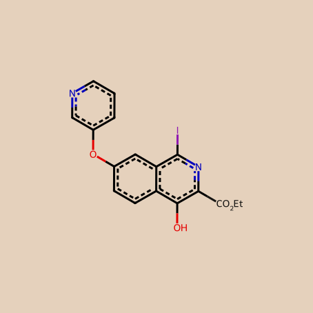 CCOC(=O)c1nc(I)c2cc(Oc3cccnc3)ccc2c1O